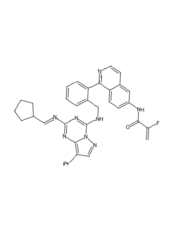 C=C(F)C(=O)Nc1ccc2c(-c3ccccc3CNc3nc(/N=C/C4CCCC4)nc4c(C(C)C)cnn34)nccc2c1